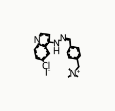 C[N+](C)(C)Cc1ccc(/C=N\Nc2ccnc3ccc(Cl)cc23)cc1.[I-]